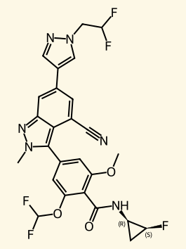 COc1cc(-c2c3c(C#N)cc(-c4cnn(CC(F)F)c4)cc3nn2C)cc(OC(F)F)c1C(=O)N[C@@H]1C[C@@H]1F